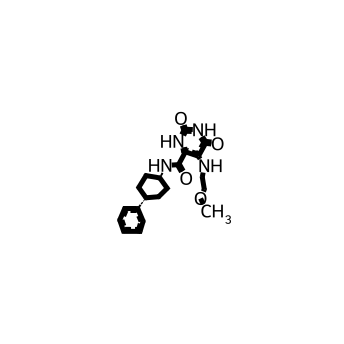 COCCNc1c(C(=O)N[C@H]2CC[C@@H](c3ccccc3)CC2)[nH]c(=O)[nH]c1=O